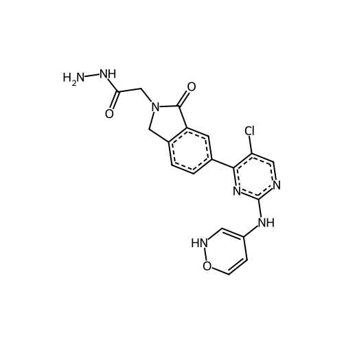 NNC(=O)CN1Cc2ccc(-c3nc(NC4=CNOC=C4)ncc3Cl)cc2C1=O